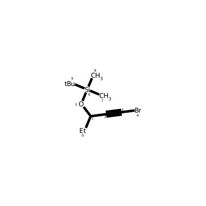 CCC(C#CBr)O[Si](C)(C)C(C)(C)C